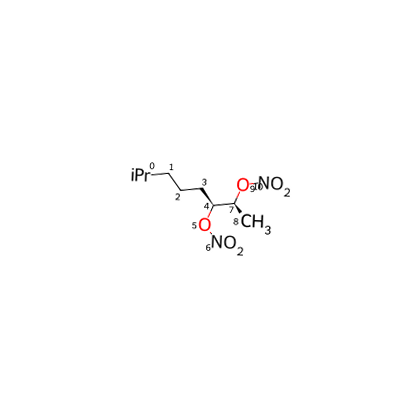 CC(C)CCC[C@H](O[N+](=O)[O-])[C@H](C)O[N+](=O)[O-]